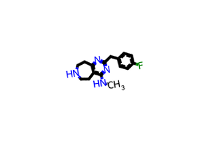 CNc1nc(Cc2ccc(F)cc2)nc2c1CCNCC2